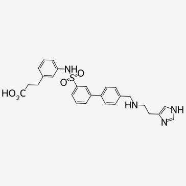 O=C(O)CCc1cccc(NS(=O)(=O)c2cccc(-c3ccc(CNCCc4c[nH]cn4)cc3)c2)c1